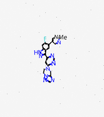 C/N=C\C(=C/NC)c1cc2c(-c3cc(N4CCn5ncnc5C4)ncn3)n[nH]c2cc1F